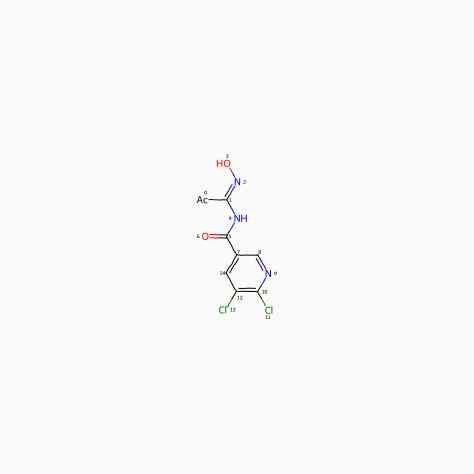 CC(=O)/C(=N\O)NC(=O)c1cnc(Cl)c(Cl)c1